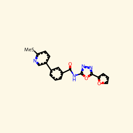 CSc1ccc(-c2cccc(C(=O)Nc3nnc(-c4ccco4)o3)c2)cn1